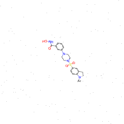 CC(=O)N1CCc2cc(S(=O)(=O)N3CCN(c4cccc(C(=O)NO)c4)CC3)ccc21